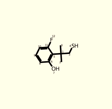 CC(C)(CS)c1c(O)cccc1F